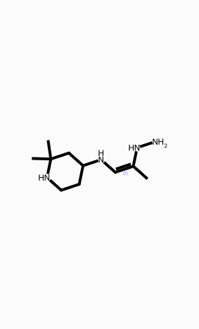 C/C(=C/NC1CCNC(C)(C)C1)NN